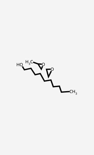 C1CO1.CC1CO1.CCCCCCCCCCO